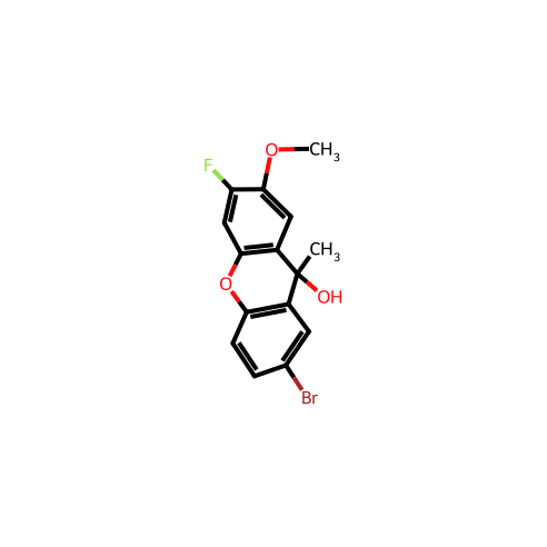 COc1cc2c(cc1F)Oc1ccc(Br)cc1C2(C)O